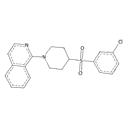 O=S(=O)(c1cccc(Cl)c1)C1CCN(c2nccc3ccccc23)CC1